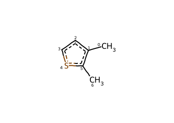 Cc1[c]csc1C